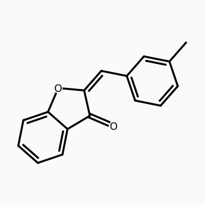 Cc1cccc(C=C2Oc3ccccc3C2=O)c1